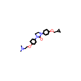 CN(C)CCOc1ccc(N2CCN(c3ccc(OCC4CC4)cc3)C2=O)cc1